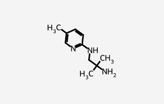 Cc1ccc(NCC(C)(C)N)nc1